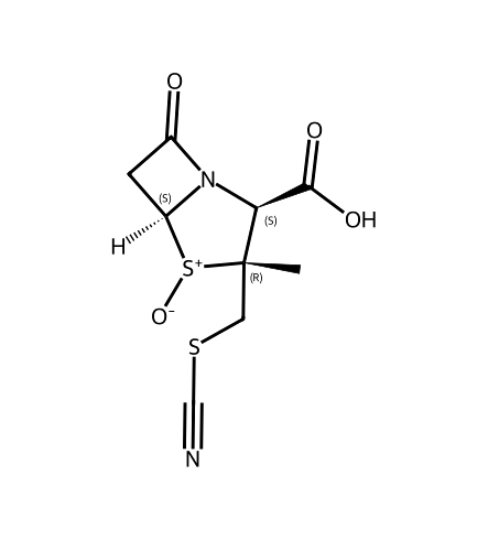 C[C@]1(CSC#N)[C@H](C(=O)O)N2C(=O)C[C@@H]2[S+]1[O-]